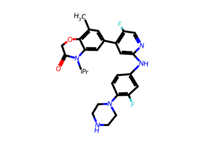 Cc1cc(-c2cc(Nc3ccc(N4CCNCC4)c(F)c3)ncc2F)cc2c1OCC(=O)N2C(C)C